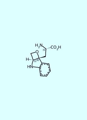 N[C@@H](C[C@]12OC[C@@H]1Nc1ccccc12)C(=O)O